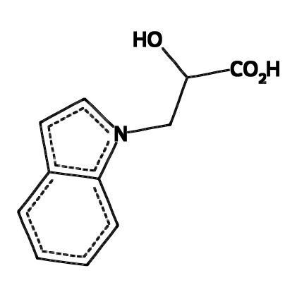 O=C(O)C(O)Cn1ccc2ccccc21